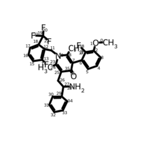 COc1cccc(-c2c(C)n(Cc3c(F)cccc3C(F)(F)F)c(C)c(CC(N)c3ccccc3)c2=O)c1F